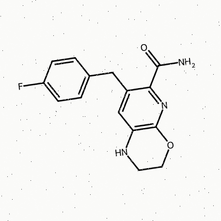 NC(=O)c1nc2c(cc1Cc1ccc(F)cc1)NCCO2